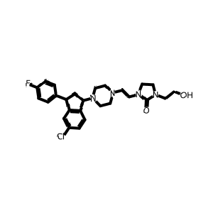 O=C1N(CCO)CCN1CCN1CCN(C2CC(c3ccc(F)cc3)c3cc(Cl)ccc32)CC1